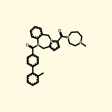 Cc1ccccc1-c1ccc(C(=O)N2Cc3ccc(C(=O)N4CCCN(C)CC4)n3Cc3ccccc32)cc1